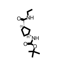 CCNC(=O)[C@H]1CC[C@@H](NC(=O)OC(C)(C)C)C1